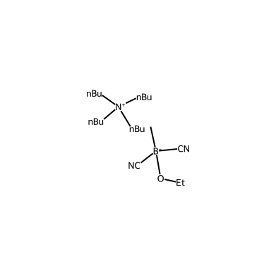 CCCC[N+](CCCC)(CCCC)CCCC.CCO[B-](C)(C#N)C#N